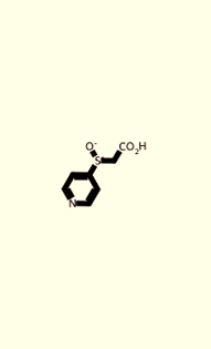 O=C(O)C[S+]([O-])c1ccncc1